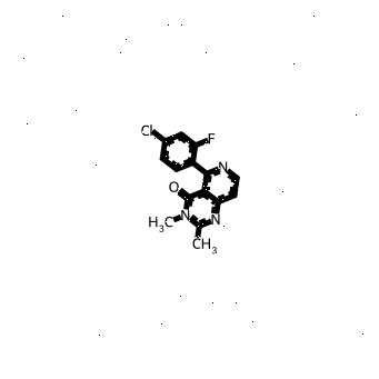 Cc1nc2ccnc(-c3ccc(Cl)cc3F)c2c(=O)n1C